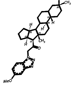 COc1ccc2c(c1)nnn2CC(=O)[C@H]1[C@H]2CCC[C@H]2C2C3CCC4C[C@](C)(O)CC[C@@H]4[C@H]3CC[C@@]21C